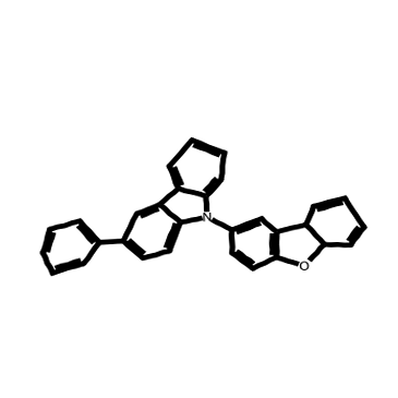 C1=CC2Oc3ccc(-n4c5ccccc5c5cc(-c6ccccc6)ccc54)cc3C2C=C1